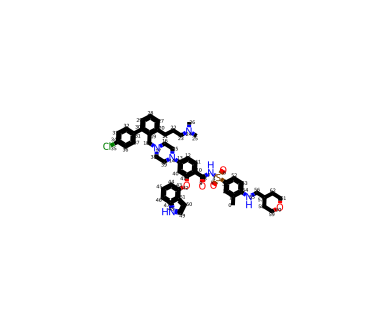 Cc1cc(S(=O)(=O)NC(=O)c2ccc(N3CCN(Cc4c(CCCN(C)C)cccc4-c4ccc(Cl)cc4)CC3)cc2Oc2cccc3[nH]ccc23)ccc1NCC1CCOCC1